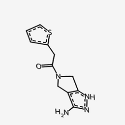 Nc1n[nH]c2c1CN(C(=O)Cc1cccs1)C2